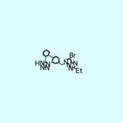 CCc1nc2c(Br)cn(Cc3ccc(-c4ccccc4-c4nnn[nH]4)cc3)n2n1